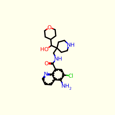 Nc1c(Cl)cc(C(=O)NCC2(C(O)C3CCOCC3)CCNCC2)c2ncccc12